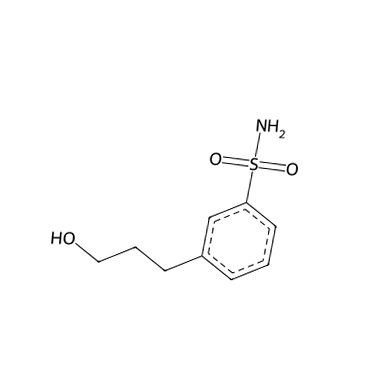 NS(=O)(=O)c1cccc(CCCO)c1